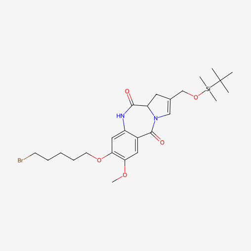 COc1cc2c(cc1OCCCCCBr)NC(=O)C1CC(CO[Si](C)(C)C(C)(C)C)=CN1C2=O